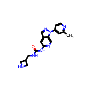 Cc1cc(-n2ncc3cc(NC(=O)NCC4CNC4)ncc32)ccn1